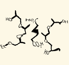 CC(O)COC(C)COC(C)CO.CCOCC(C)OCC(C)OCC(C)O.O=C(O)CCCCC(=O)O